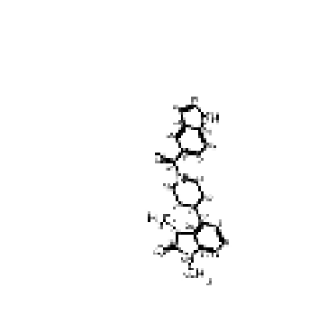 C[C@H]1C(=O)N(C)c2nccc(C3CCN(C(=O)c4ccc5[nH]ccc5c4)CC3)c21